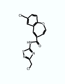 O=C(Nc1nc(CCl)ns1)C1=Cc2cc(Cl)ccc2OC=C1